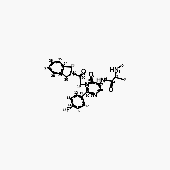 CNC(C)C(=O)Nc1cnc(-c2ccc(F)cc2)n(CC(=O)N2Cc3ccccc3C2)c1=O